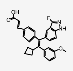 COc1cccc(C(=C(c2ccc(C=CC(=O)O)cc2)c2ccc3[nH]nc(F)c3c2)C2CCC2)c1